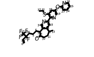 C=CC(F)(CCCC1C(=O)CCC(C)c2cc(-c3ncc(Oc4ccccn4)cc3SCC)ncc21)C(F)(F)F